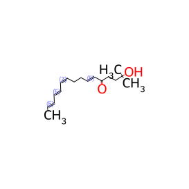 C/C=C/C=C/C=C\CC/C=C/C(=O)CCC(C)(C)O